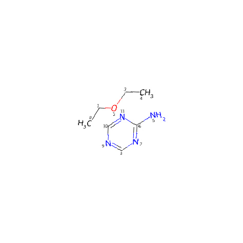 CCOCC.Nc1ncncn1